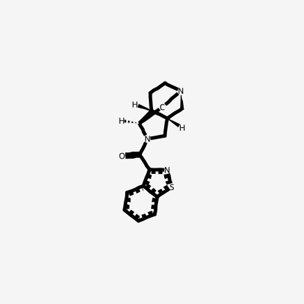 O=C(c1nsc2ccccc12)N1C[C@H]2C[N@]3CC[C@H]2[C@H]1C3